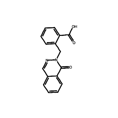 O=C(O)c1ccccc1Cn1ncc2ccccc2c1=O